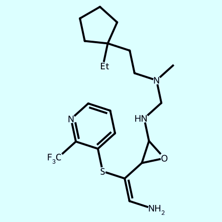 CCC1(CCN(C)CNC2OC2/C(=C\N)Sc2cccnc2C(F)(F)F)CCCC1